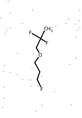 CC(F)(F)COCCCF